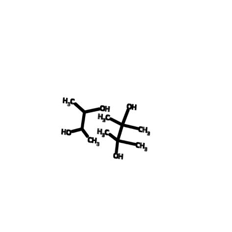 CC(C)(O)C(C)(C)O.CC(O)C(C)O